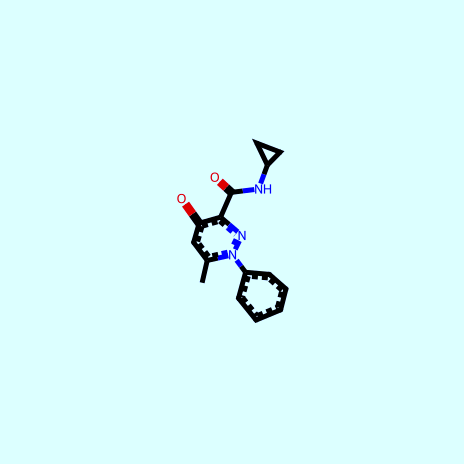 Cc1cc(=O)c(C(=O)NC2CC2)nn1-c1ccccc1